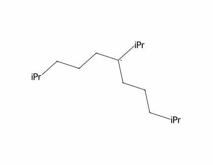 CC(C)CCC[C](CCCC(C)C)C(C)C